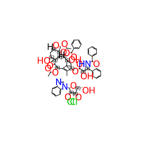 CC(=O)O[C@H]1C(=O)[C@@]2(C)[C@H]([C@H](OC(=O)c3ccccc3)[C@]3(O)C[C@H](OC(=O)[C@H](O)[C@@H](NC(=O)c4ccccc4)c4ccccc4)C(C)=C1C3(C)C)[C@]1(OC(C)=O)CO[C@@H]1C[C@@H]2O.OC[C@H]1OC(n2cnc3ccccc32)[C@H](OCl)[C@@H]1OCl